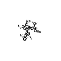 C#CC[C@@H]1C[C@@H](Oc2cc(O[C@@H](C)[C@@H](C)C[C@@H](F)CNC)nc(-c3noc(C(C)(C)c4ccccc4)n3)n2)CCN1C(=O)OC(C)(C)C